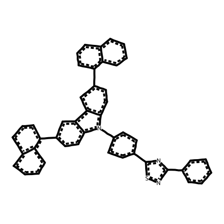 c1ccc(-c2nsc(-c3ccc(-n4c5ccc(-c6cccc7ccccc67)cc5c5cc(-c6cccc7ccccc67)ccc54)cc3)n2)cc1